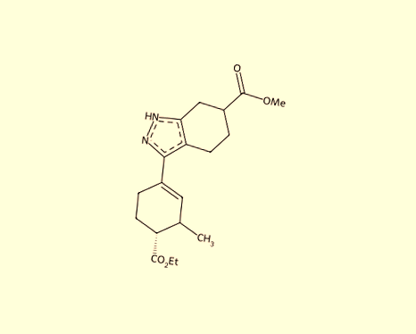 CCOC(=O)[C@@H]1CCC(c2n[nH]c3c2CCC(C(=O)OC)C3)=CC1C